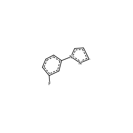 Fc1cccc(-n2cc[c]n2)c1